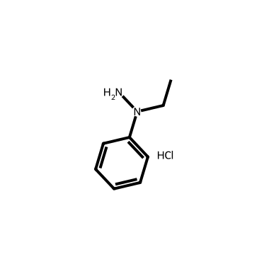 CCN(N)c1ccccc1.Cl